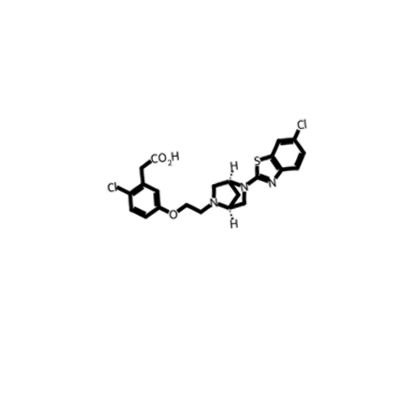 O=C(O)Cc1cc(OCCN2C[C@@H]3C[C@H]2CN3c2nc3ccc(Cl)cc3s2)ccc1Cl